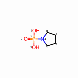 O=P(O)(O)N1[CH]CCC1